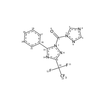 O=C(n1cncn1)n1nc(C(F)(F)C(F)(F)F)nc1-c1ccccc1